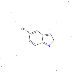 CC(C)c1ccc2c(c1)=CCN=2